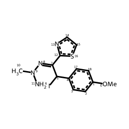 COc1ccc(C(I)/C(=N\N(C)N)c2nccs2)cc1